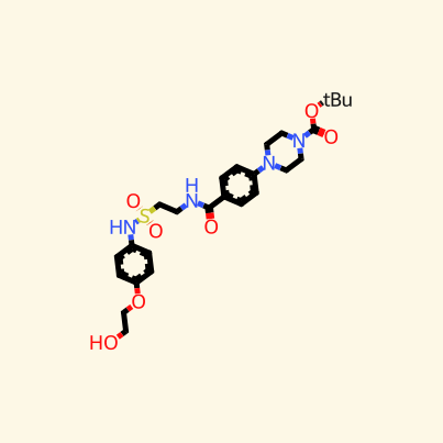 CC(C)(C)OC(=O)N1CCN(c2ccc(C(=O)NCCS(=O)(=O)Nc3ccc(OCCO)cc3)cc2)CC1